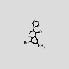 Nc1cc(Br)c2c(c1)C(=O)C(n1ccnc1)CO2